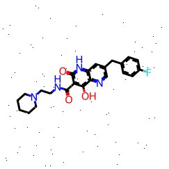 O=C(NCCN1CCCCC1)c1c(O)c2ncc(Cc3ccc(F)cc3)cc2[nH]c1=O